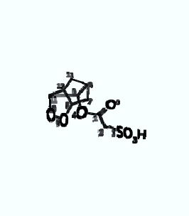 O=C(CS(=O)(=O)O)OC1C2CC3OOC1C3C2